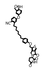 N#Cc1ccc(Oc2ccc3c(c2)COB3)cc1CCCCCCCc1ccc(OCc2scc3c2CN(C2CCC(=O)NC2=O)C3=O)cc1